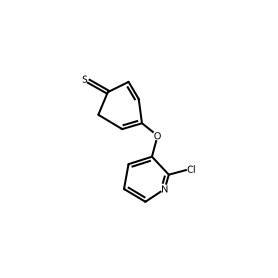 S=C1C=CC(Oc2cccnc2Cl)=CC1